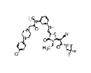 CCn1c(=C(C#N)C(=O)NCC(F)(F)F)sc(=CNc2cccc(N(C)C(=O)CN3CCN(c4ccc(Cl)cc4)CC3)c2)c1=O